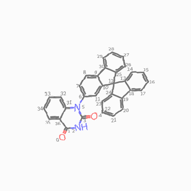 O=c1[nH]c(=O)n(-c2ccc3c(c2)C2(c4ccccc4-c4ccccc42)c2ccccc2-3)c2ccccc12